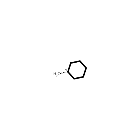 C[C@@H]1[CH]CCCC1